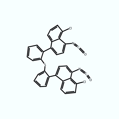 O=C=Nc1ccc(-c2ccccc2Sc2ccccc2-c2ccc(N=C=O)c3c(Cl)cccc23)c2cccc(Cl)c12